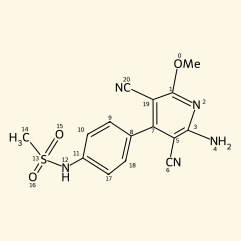 COc1nc(N)c(C#N)c(-c2ccc(NS(C)(=O)=O)cc2)c1C#N